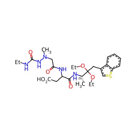 CCNC(=O)NN(C)CC(=O)NC(CC(=O)O)C(=O)N[C@@H](C)C(Cc1csc2ccccc12)(OCC)OCC